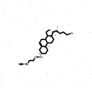 CC(C)CCC[C@@H](C)[C@H]1CCC2C3CC=C4C[C@@H](NOCCN=[N+]=[N-])CC[C@]4(C)C3CC[C@@]21C